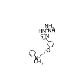 CN(CCCCOc1cccc(-c2csc(NC(=N)N)n2)c1)c1ccccc1